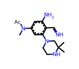 CC(=O)N(C)c1cc(N)c(C=N)c(N2CCNC(C)(C)C2)c1